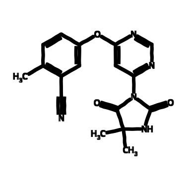 Cc1ccc(Oc2cc(N3C(=O)NC(C)(C)C3=O)ncn2)cc1C#N